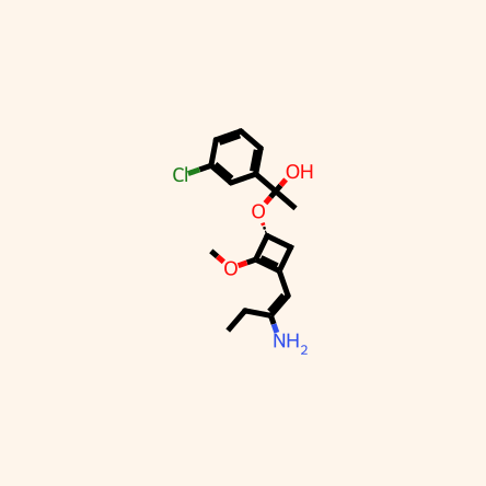 CC/C(N)=C\C1=C(OC)[C@H](OC(C)(O)c2cccc(Cl)c2)C1